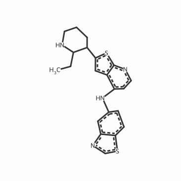 CCC1NCCCC1c1cc2c(Nc3ccc4scnc4c3)ccnc2s1